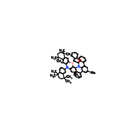 Cc1cc2c3c(c1)N(c1c(-c4ccccc4)cc(C(C)(C)C)cc1-c1ccccc1)c1oc4ccccc4c1B3c1cc3c(cc1N2c1ccc2c(c1)C(C)(C)CCC2(C)C)C(C)(C)CCC3(C)C